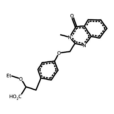 CCOC(Cc1ccc(OCc2nc3ccccc3c(=O)n2C)cc1)C(=O)O